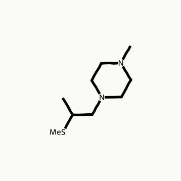 CSC(C)CN1CCN(C)CC1